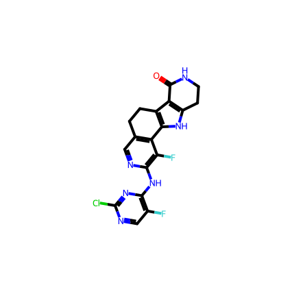 O=C1NCCc2[nH]c3c(c21)CCc1cnc(Nc2nc(Cl)ncc2F)c(F)c1-3